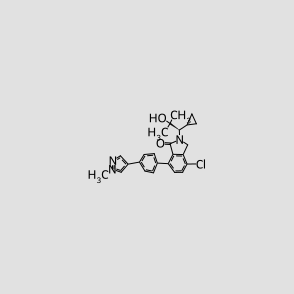 Cn1cc(-c2ccc(-c3ccc(Cl)c4c3C(=O)N([C@H](C3CC3)C(C)(C)O)C4)cc2)cn1